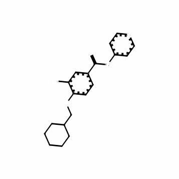 Nc1cc(C(=O)Nc2ccncc2)ccc1OCC1CCCCC1